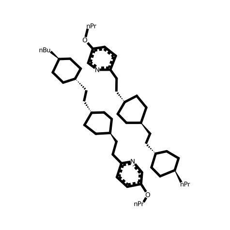 CCCC[C@H]1CC[C@H](CC[C@H]2CC[C@H](CCc3ccc(OCCC)cn3)CC2)CC1.CCCOc1ccc(CC[C@H]2CC[C@H](CC[C@H]3CC[C@H](CCC)CC3)CC2)nc1